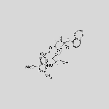 COc1nc(N)nc2c1ncn2[C@@H]1O[C@H](COP(=O)(N[C@@H](C)C(=O)OCC(C)(C)C)Oc2cccc3ccccc23)[C@@H](O)[C@@]1(C)O